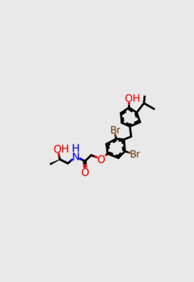 CC(C)c1cc(Cc2c(Br)cc(OCC(=O)NC[C@@H](C)O)cc2Br)ccc1O